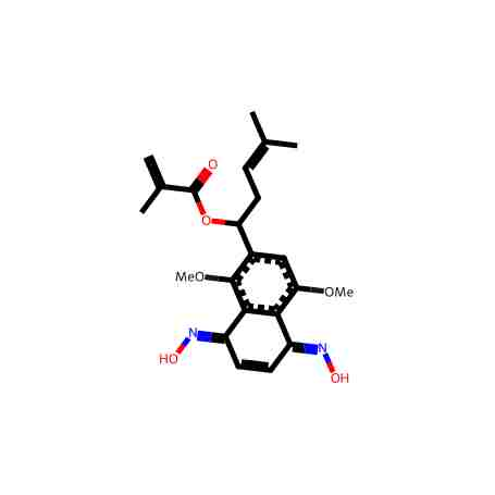 C=C(C)C(=O)OC(CC=C(C)C)c1cc(OC)c2c(c1OC)C(=NO)C=CC2=NO